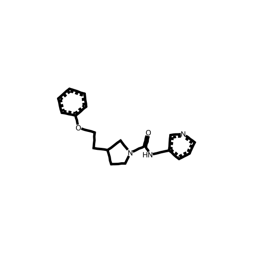 O=C(Nc1cccnc1)N1CCC(CCOc2ccccc2)C1